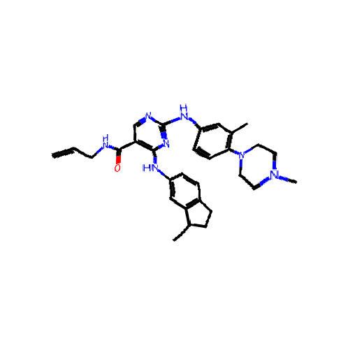 C=CCNC(=O)c1cnc(Nc2ccc(N3CCN(C)CC3)c(C)c2)nc1Nc1ccc2c(c1)C(C)CC2